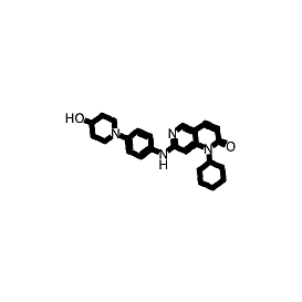 O=c1ccc2cnc(Nc3ccc(N4CCC(O)CC4)cc3)cc2n1C1CCCCC1